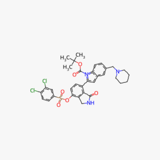 CC(C)(C)OC(=O)n1c(-c2ccc(OS(=O)(=O)c3ccc(Cl)c(Cl)c3)c3c2C(=O)NC3)cc2cc(CN3CCCCC3)ccc21